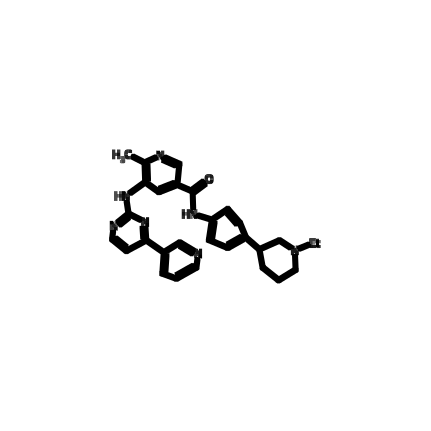 CCN1CCCC(c2ccc(NC(=O)c3cnc(C)c(Nc4nccc(-c5cccnc5)n4)c3)cc2)C1